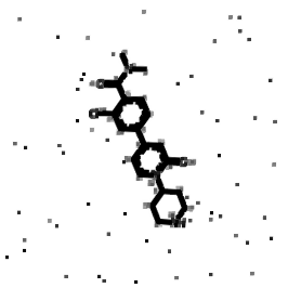 CN(C)C(=O)c1ccc(-c2ccn(C3CCNCC3)c(=O)c2)cc1Cl